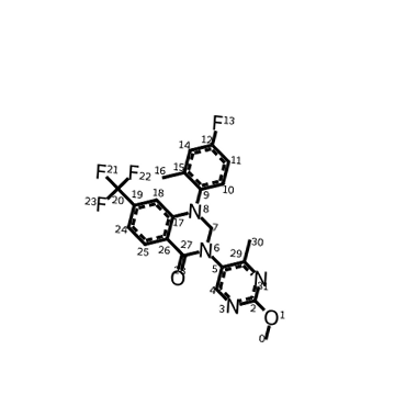 COc1ncc(N2CN(c3ccc(F)cc3C)c3cc(C(F)(F)F)ccc3C2=O)c(C)n1